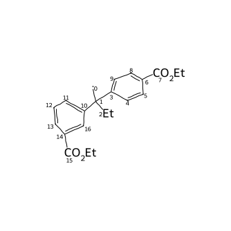 [CH2]C(CC)(c1ccc(C(=O)OCC)cc1)c1cccc(C(=O)OCC)c1